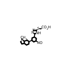 Cn1ccc2ccc(-c3cc(N=O)cc(-c4nnc(SCC(=O)O)[nH]4)c3)cc21